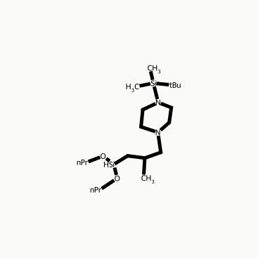 CCCO[SiH](CC(C)CN1CCN([Si](C)(C)C(C)(C)C)CC1)OCCC